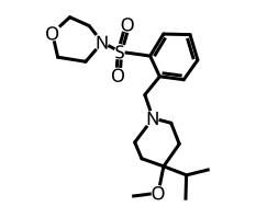 COC1(C(C)C)CCN(Cc2ccccc2S(=O)(=O)N2CCOCC2)CC1